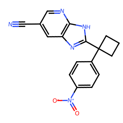 N#Cc1cnc2[nH]c(C3(c4ccc([N+](=O)[O-])cc4)CCC3)nc2c1